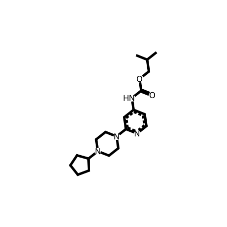 CC(C)COC(=O)Nc1ccnc(N2CCN(C3CCCC3)CC2)c1